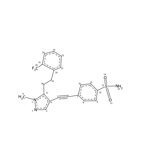 Cn1ncc(C#Cc2ccc(S(N)(=O)=O)cc2)c1CCc1ccccc1C(F)(F)F